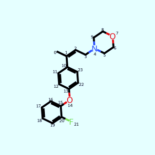 CC(=CCN1CCOCC1)c1ccc(Oc2ccccc2F)cc1